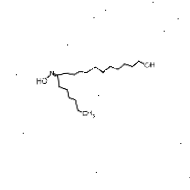 CCCCCC/C(CCCCCCCCCCCO)=N\O